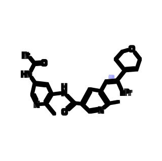 CCC/C(=C\c1cc(C(=O)Nc2cc(NC(=O)CC)cnc2C)cnc1C)C1=CCOCC1